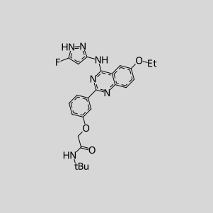 CCOc1ccc2nc(-c3cccc(OCC(=O)NC(C)(C)C)c3)nc(Nc3cc(F)[nH]n3)c2c1